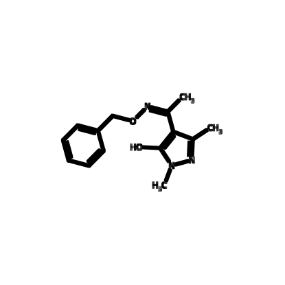 CC(=NOCc1ccccc1)c1c(C)nn(C)c1O